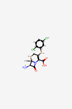 N[C@@H]1C(=O)N2C(C(=O)O)=C(Sc3cc(Cl)ccc3Cl)CS[C@@H]12